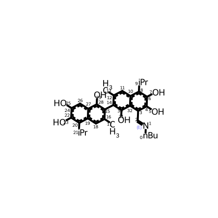 CCCC/N=C/c1c(O)c(O)c(C(C)C)c2cc(C)c(-c3c(C)cc4c(C(C)C)c(O)c(O)cc4c3O)c(O)c12